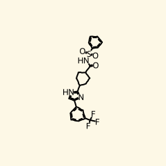 O=C(NS(=O)(=O)c1ccccc1)C1CCC(c2nc(-c3cccc(C(F)(F)F)c3)c[nH]2)CC1